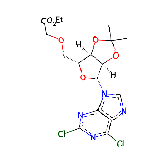 CCOC(=O)COC[C@H]1O[C@@H](n2cnc3c(Cl)nc(Cl)nc32)[C@@H]2OC(C)(C)O[C@@H]21